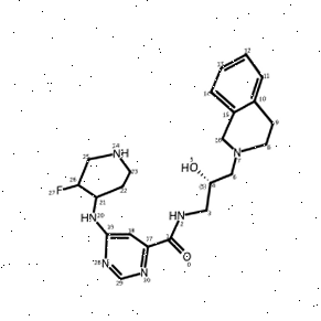 O=C(NC[C@H](O)CN1CCc2ccccc2C1)c1cc(NC2CCNCC2F)ncn1